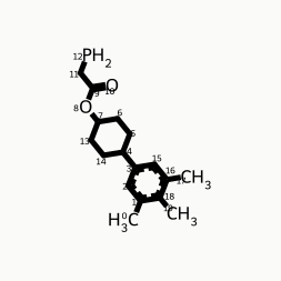 Cc1cc(C2CCC(OC(=O)CP)CC2)cc(C)c1C